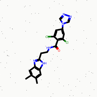 Cc1cc2nc(CCNC(=O)c3c(Cl)cc(-n4cnnc4)cc3Cl)[nH]c2cc1C